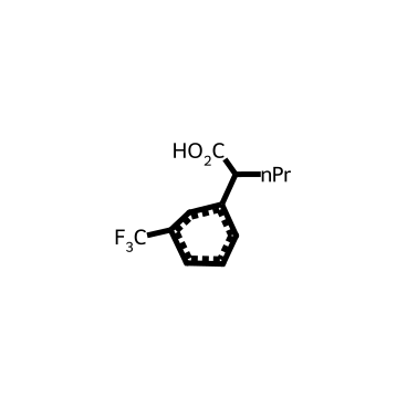 CCCC(C(=O)O)c1cccc(C(F)(F)F)c1